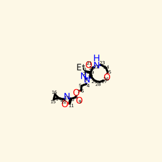 CCc1nn(CCCOC(=O)c2coc(C3CC3)n2)c2c1C(=O)NCCCOCCC2